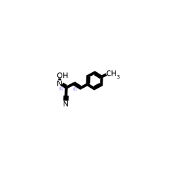 Cc1ccc(/C=C/C(C#N)=N\O)cc1